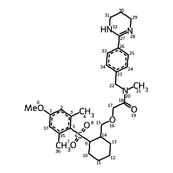 COc1cc(C)c(S(=O)(=O)C2CCCCC2COCC(=O)N(C)Cc2ccc(C3=NCCCN3)cc2)c(C)c1